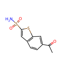 CC(=O)c1ccc2cc(S(N)(=O)=O)sc2c1